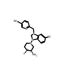 N#Cc1ccc(CN2CN(N3CC[C@H](F)[C@H](N)C3)c3ccc(Cl)cc32)nc1